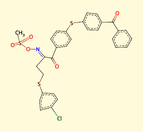 CS(=O)(=O)O/N=C(\CCSc1ccc(Cl)cc1)C(=O)c1ccc(Sc2ccc(C(=O)c3ccccc3)cc2)cc1